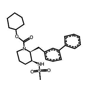 CS(=O)(=O)N[C@H]1CCCN(C(=O)OC2CCCCC2)[C@H]1Cc1cccc(-c2ccccc2)c1